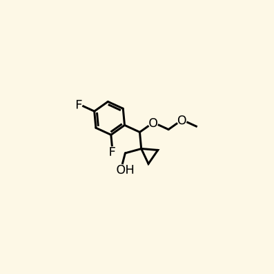 COCOC(c1ccc(F)cc1F)C1(CO)CC1